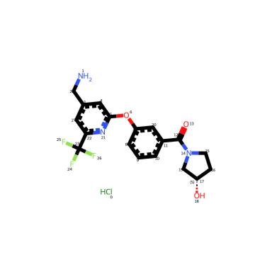 Cl.NCc1cc(Oc2cccc(C(=O)N3CC[C@H](O)C3)c2)nc(C(F)(F)F)c1